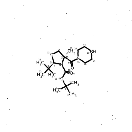 CC(C)(C)OC(=O)N1[C@@H](C(C)(C)C)OC[C@@]1(C)C(=O)N1CCNCC1